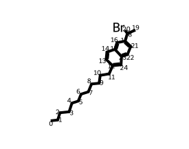 CCCCCCCCCCCCc1ccc2cc(C(C)Br)ccc2c1